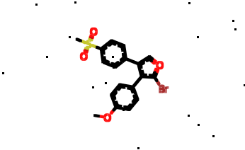 COc1ccc(-c2c(-c3ccc(S(C)(=O)=O)cc3)coc2Br)cc1